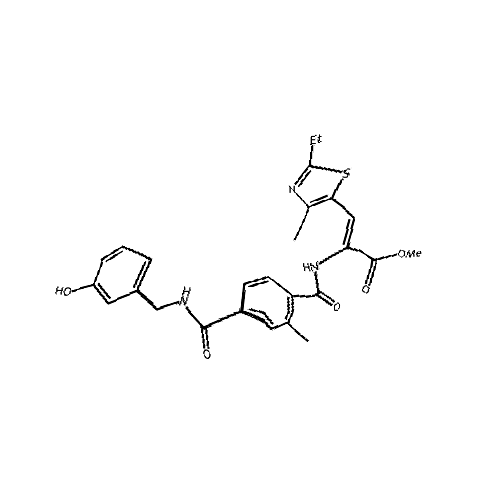 CCc1nc(C)c(/C=C(\NC(=O)c2ccc(C(=O)NCc3cccc(O)c3)cc2C)C(=O)OC)s1